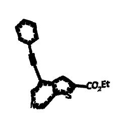 CCOC(=O)c1cc2c(C#Cc3ccccc3)cncc2s1